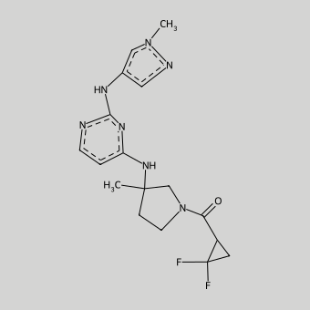 Cn1cc(Nc2nccc(NC3(C)CCN(C(=O)C4CC4(F)F)C3)n2)cn1